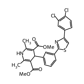 COC(=O)C1=C(C)NC(C)=C(C(=O)OC)C1c1cccc(-c2nc(-c3ccc(Cl)c(Cl)c3)cs2)c1